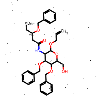 C=CCOC1OC(CO)C(OCc2ccccc2)C(OCc2ccccc2)C1NC(=O)C[C@@H](CCCCCCCCCCC)OCc1ccccc1